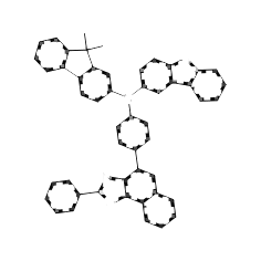 CC1(C)c2ccccc2-c2ccc(N(c3ccc(-c4cc5ccccc5c5oc(-c6ccccc6)nc45)cc3)c3ccc4sc5ccccc5c4c3)cc21